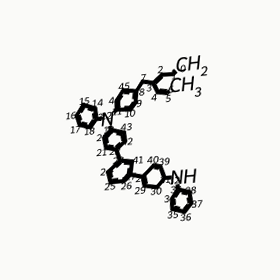 C=C/C=C(\C=C/C)Cc1ccc(N(c2ccccc2)c2ccc(-c3cccc(C4=CCC(Nc5ccccc5)C=C4)c3)cc2)cc1